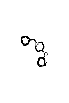 c1ccc(CN2CCC(Oc3ccccn3)CC2)cc1